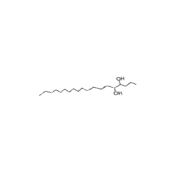 CCCCCCCCCCCCCCC(O)C(O)CCC